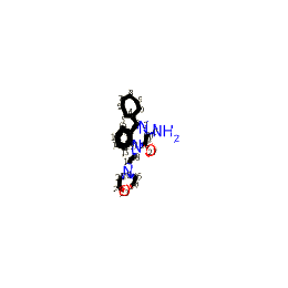 N[C@@H]1N=C(C2CCCCCC2)c2ccccc2N(CCN2CCOCC2)C1=O